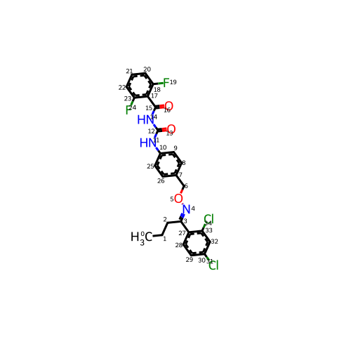 CCC/C(=N\OCc1ccc(NC(=O)NC(=O)c2c(F)cccc2F)cc1)c1ccc(Cl)cc1Cl